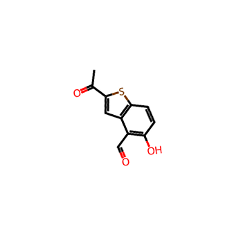 CC(=O)c1cc2c(C=O)c(O)ccc2s1